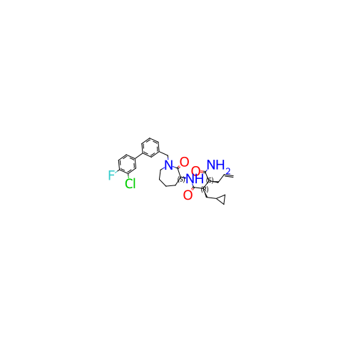 C=CC[C@H](C(N)=O)[C@@H](CC1CC1)C(=O)N[C@H]1CCCCN(Cc2cccc(-c3ccc(F)c(Cl)c3)c2)C1=O